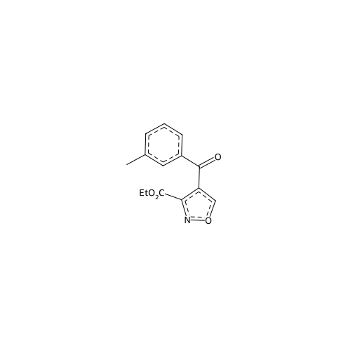 CCOC(=O)c1nocc1C(=O)c1cccc(C)c1